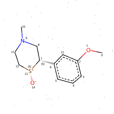 COc1cccc([C@H]2CN(C)CC[S@@+]2[O-])c1